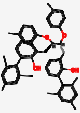 Cc1ccc(O[C@H](Cc2cccc(-c3c(C)cc(C)cc3C)c2O)[C@@H](Cc2cccc(-c3c(C)cc(C)cc3C)c2O)Oc2ccc(C)cc2)cc1